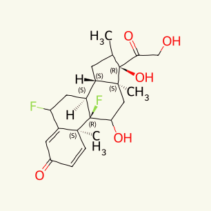 CC1C[C@H]2[C@@H]3CC(F)C4=CC(=O)C=C[C@]4(C)[C@@]3(F)C(O)C[C@]2(C)[C@@]1(O)C(=O)CO